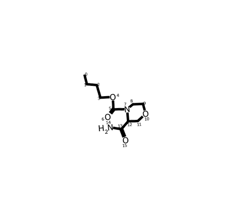 CCCCOC(=O)N1CCOCC1C(N)=O